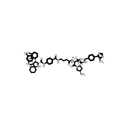 Cc1ncsc1-c1ccc(CNC(=O)[C@@H]2C[C@@H](N)CN2C(=O)[C@@H](NC(=O)CCCNC(=O)c2ccc(NC(=O)[C@@H]3NC4(CCCCC4)[C@@]4(C(=O)Nc5cc(Cl)ccc54)[C@H]3c3cccc(Cl)c3F)cc2)C(C)(C)C)cc1